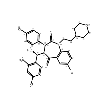 C[C@H](c1ccc(Cl)cc1N)N1C(=O)c2cc(I)ccc2N(CCN2CCOCC2)C(=O)[C@@H]1c1ccc(Cl)cc1